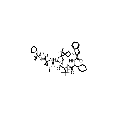 C=C[C@@H]1C[C@]1(NC(=O)[C@@H]1C[C@@]2(CN1C(=O)[C@@H](NC(=O)[C@@H](NC(=O)c1cc3ccccc3o1)C1CCCCC1)C(C)(C)C)C(C)(C)C21CCC1)C(=O)NS(=O)(=O)N1CCCC1